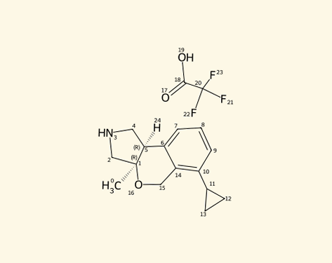 C[C@]12CNC[C@H]1c1cccc(C3CC3)c1CO2.O=C(O)C(F)(F)F